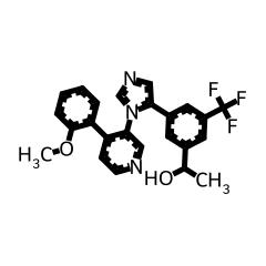 COc1ccccc1-c1ccncc1-n1cncc1-c1cc(C(C)O)cc(C(F)(F)F)c1